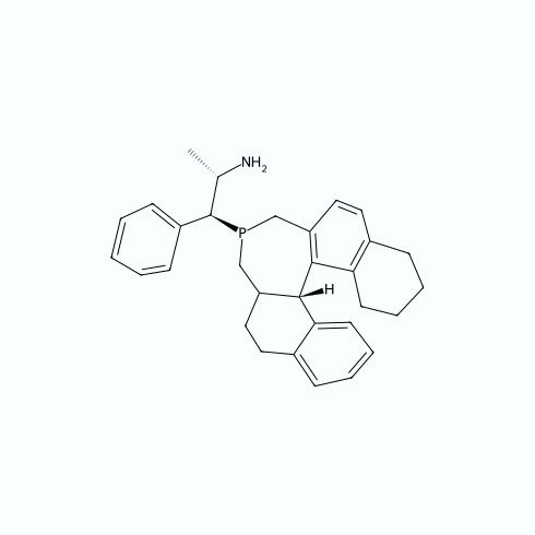 C[C@H](N)[C@H](c1ccccc1)P1Cc2ccc3c(c2[C@@H]2c4ccccc4CCC2C1)CCCC3